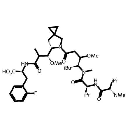 CC[C@H](C)[C@@H](C(CC(=O)N1CC2(CC2)C[C@H]1[C@H](OC)C(C)C(=O)N[C@@H](Cc1ccccc1F)C(=O)O)OC)N(C)C(=O)[C@@H](NC(=O)[C@@H](NC)C(C)C)C(C)C